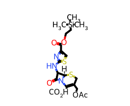 CC(=O)OCC1=C(C(=O)O)N2C(=O)C(Nc3nc(C(=O)OCC[Si](C)(C)C)cs3)[C@H]2SC1